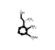 COc1cccc([C@@H](C)CO)c1N